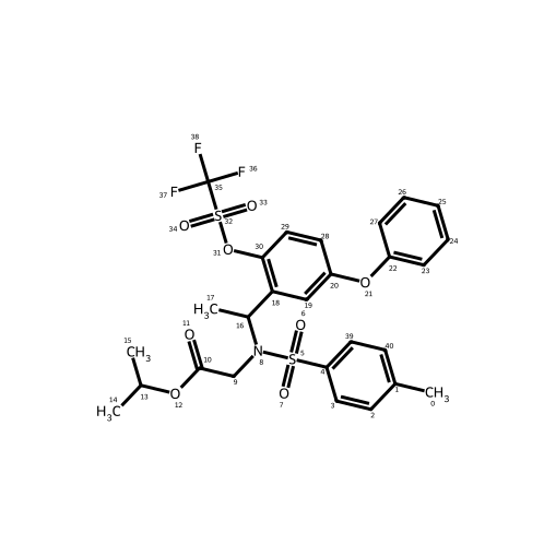 Cc1ccc(S(=O)(=O)N(CC(=O)OC(C)C)C(C)c2cc(Oc3ccccc3)ccc2OS(=O)(=O)C(F)(F)F)cc1